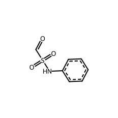 O=CS(=O)(=O)Nc1ccccc1